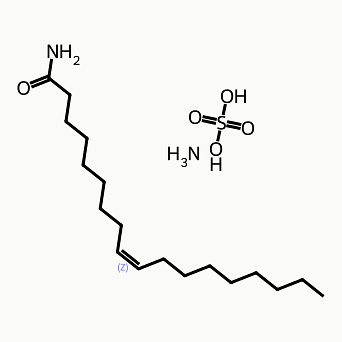 CCCCCCCC/C=C\CCCCCCCC(N)=O.N.O=S(=O)(O)O